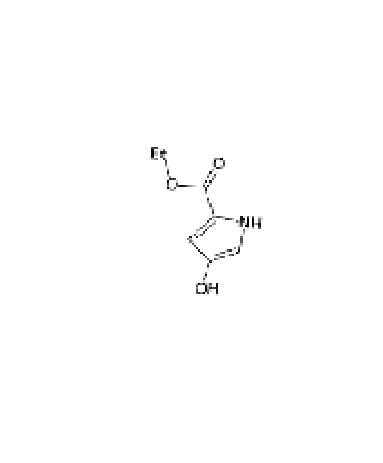 CCOC(=O)c1cc(O)c[nH]1